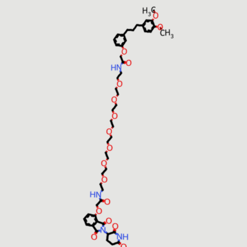 COc1ccc(CCCc2cccc(OCC(=O)NCCOCCOCCOCCOCCOCCOCCOCCNC(=O)COc3cccc4c3C(=O)N(C3CCC(=O)NC3=O)C4=O)c2)cc1OC